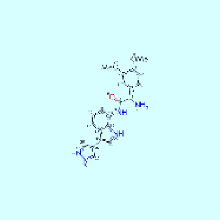 COc1ccc(C(N)C(=O)Nc2cccc3c(-c4cn[nH]c4)c[nH]c23)cc1OC